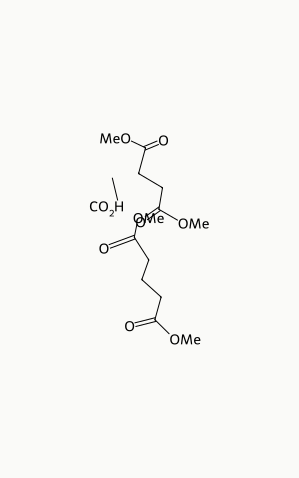 CC(=O)O.COC(=O)CCC(=O)OC.COC(=O)CCCC(=O)OC